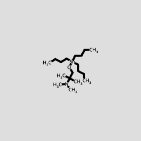 CCC[CH2][Sn]([CH2]CCC)([CH2]CCC)[O]CC(C)(C)N(C)C